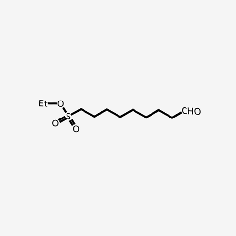 CCOS(=O)(=O)CCCCCCCCC=O